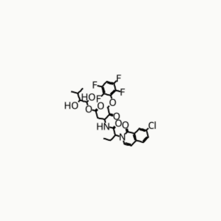 CCC(C(=O)NC(CC(=O)OC(O)C(O)C(C)C)C(=O)COc1c(F)c(F)cc(F)c1F)n1ccc2ccc(Cl)cc2c1=O